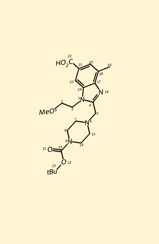 COCCn1c(CN2CCN(C(=O)OC(C)(C)C)CC2)nc2c(C)cc(C(=O)O)cc21